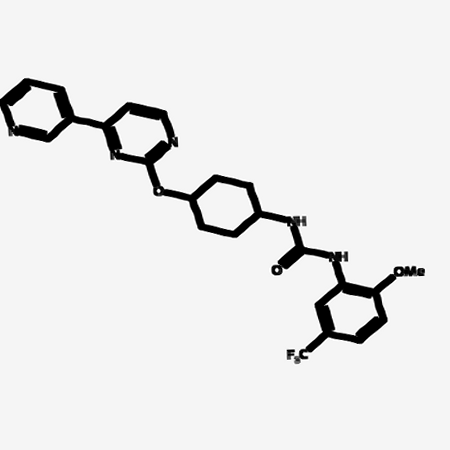 COc1ccc(C(F)(F)F)cc1NC(=O)NC1CCC(Oc2nccc(-c3cccnc3)n2)CC1